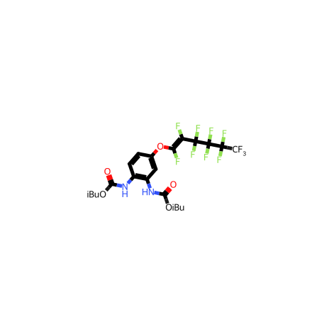 CC(C)COC(=O)Nc1ccc(OC(F)=C(F)C(F)(F)C(F)(F)C(F)(F)C(F)(F)F)cc1NC(=O)OCC(C)C